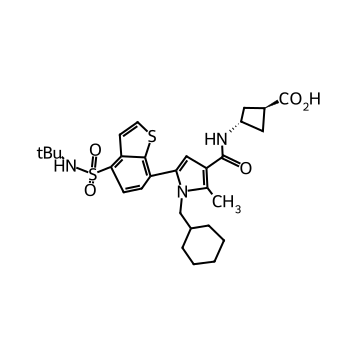 Cc1c(C(=O)N[C@H]2C[C@H](C(=O)O)C2)cc(-c2ccc(S(=O)(=O)NC(C)(C)C)c3ccsc23)n1CC1CCCCC1